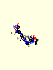 Cn1nc(C2CCC(=O)NC2=O)c2ccc(N3CCC(C(C)(C)N4CCN(c5ncc(Cl)c(Nc6ccc7c(c6)c6c(c(=O)n7C)OCC(F)(F)C(C7CC7)N6)n5)CC4)CC3)cc21